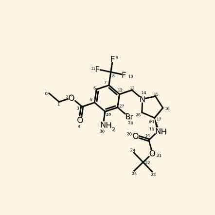 CCOC(=O)c1cc(C(F)(F)F)c(CN2CC[C@@H](NC(=O)OC(C)(C)C)C2)c(Br)c1N